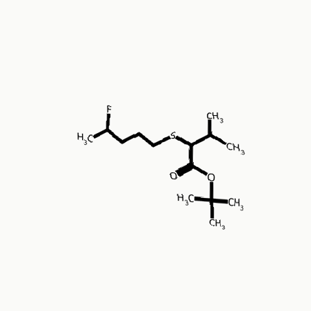 CC(F)CCCSC(C(=O)OC(C)(C)C)C(C)C